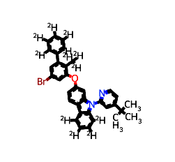 [2H]c1c([2H])c([2H])c(-c2cc(Br)cc(Oc3ccc4c5c([2H])c([2H])c([2H])c([2H])c5n(-c5cc(C(C)(C)C)ccn5)c4c3)c2C([2H])([2H])[2H])c([2H])c1[2H]